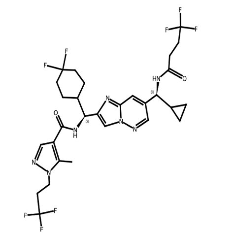 Cc1c(C(=O)N[C@H](c2cn3ncc([C@@H](NC(=O)CCC(F)(F)F)C4CC4)cc3n2)C2CCC(F)(F)CC2)cnn1CCC(F)(F)F